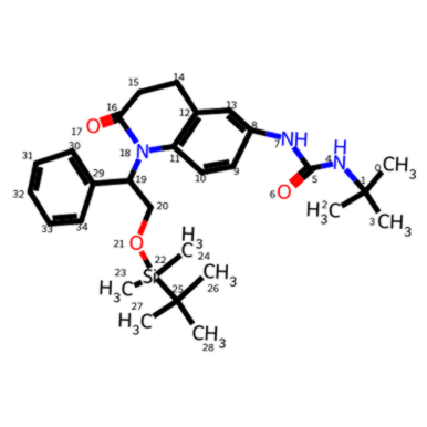 CC(C)(C)NC(=O)Nc1ccc2c(c1)CCC(=O)N2C(CO[Si](C)(C)C(C)(C)C)c1ccccc1